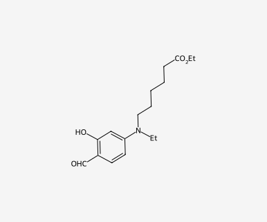 CCOC(=O)CCCCCN(CC)c1ccc(C=O)c(O)c1